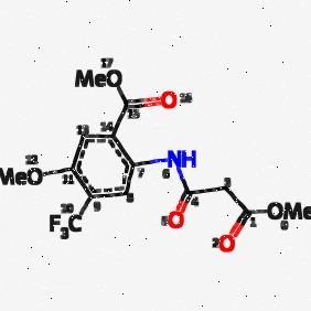 COC(=O)CC(=O)Nc1cc(C(F)(F)F)c(OC)cc1C(=O)OC